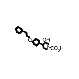 O=C(O)N1CCC(c2ccc(OCC=Cc3ccccc3)cc2)C(O)C1